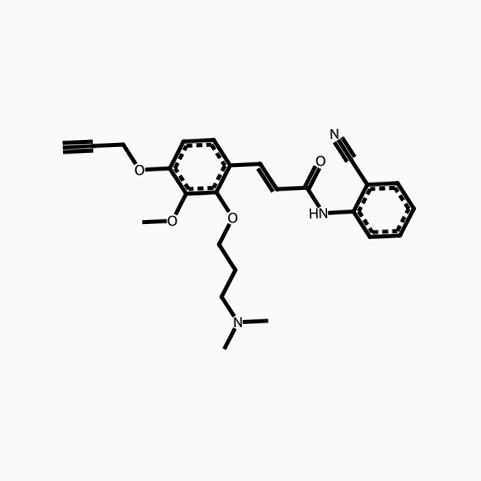 C#CCOc1ccc(/C=C/C(=O)Nc2ccccc2C#N)c(OCCCN(C)C)c1OC